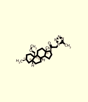 COC[C@]12CC[C@H](C)C[C@H]1CC[C@@H]1C2CC[C@@]2(C)C1CC[C@@H]2C(=O)Cn1nnnc1C